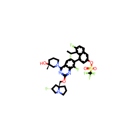 CCc1c(F)ccc2cc(OS(=O)(=O)C(F)(F)F)cc(-c3c(F)cc4c(N5CCC[C@@](C)(O)C5)nc(OC[C@@]56CCCN5C[C@H](F)C6)nc4c3F)c12